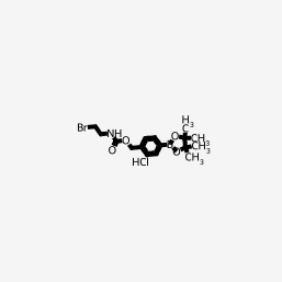 CC1(C)OB(c2ccc(COC(=O)NCCBr)cc2)OC1(C)C.Cl